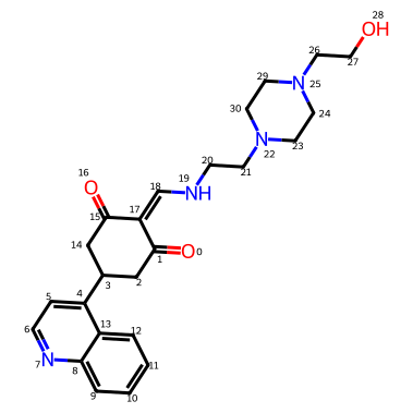 O=C1CC(c2ccnc3ccccc23)CC(=O)C1=CNCCN1CCN(CCO)CC1